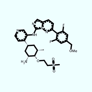 COCc1cc(F)c(-c2ccc3cnc(Nc4cnccc4[C@H]4C[C@@H](N)[C@@H](OCCS(C)(=O)=O)[C@@H](C)C4)n3n2)c(F)c1